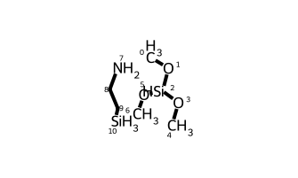 CO[SiH](OC)OC.NCC[SiH3]